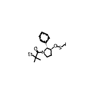 CCC(C)(C)C(=O)N1CC[C@H](OSI)[C@H]1c1ccccc1